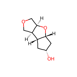 O[C@@H]1C[C@@H]2[C@H]3COC[C@H]3O[C@@H]2C1